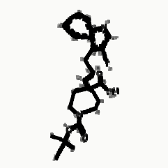 CC(C)(C)OC(=O)N1CCC(CCCc2c(F)cnc3ccccc23)(C(=O)O)CC1